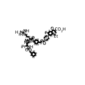 CCn1cc(C(=O)O)c(=O)c2cc(F)c(N3CCN(C(=O)OCc4ccc(NC(=O)[C@H](CCCNC(=N)N)n5cc(C(NC(=O)OCc6ccccc6)C(C)C)nn5)cc4)CC3)cc21